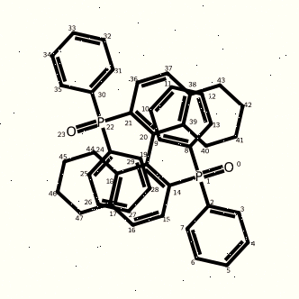 O=P(c1ccccc1)(c1ccccc1)c1ccc2c(c1-c1c(P(=O)(c3ccccc3)c3ccccc3)ccc3c1CCCC3)CCCC2